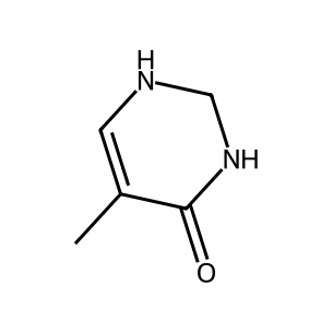 CC1=CNCNC1=O